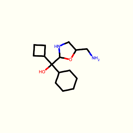 NCC1CNC(C(O)(C2CCCCC2)C2CCC2)O1